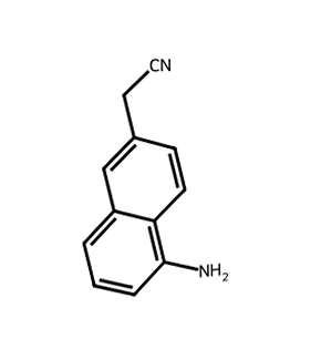 N#CCc1ccc2c(N)cccc2c1